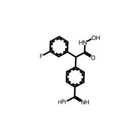 CCCC(=N)c1ccc(C(C(=O)NO)c2cccc(F)c2)cc1